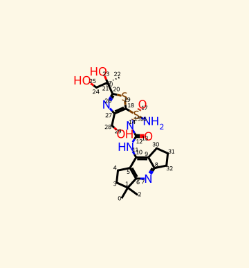 CC1(C)CCc2c1nc1c(c2NC(=O)N=S(N)(=O)c2sc([C@](C)(O)CO)nc2CO)CCC1